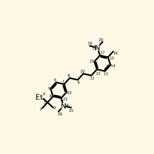 CCC(C)(C)c1ccc(CCCCc2ccc(C)c(N(C)C)c2)cc1N(C)C